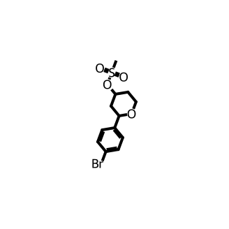 CS(=O)(=O)OC1CCOC(c2ccc(Br)cc2)C1